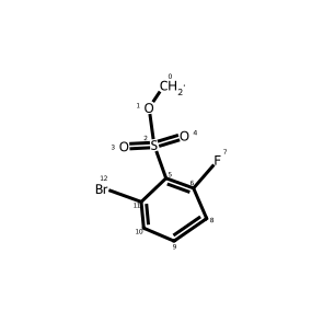 [CH2]OS(=O)(=O)c1c(F)cccc1Br